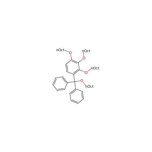 CCCCCCCCOc1ccc(C(OCCCCCCCC)(c2ccccc2)c2ccccc2)c(OCCCCCCCC)c1OCCCCCCCC